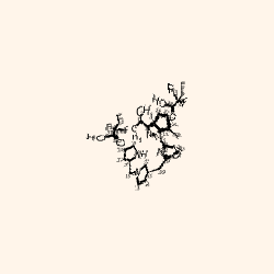 CC(C)c1nn(-c2noc(C[C@H]3CCN(C[C@H]4CCCN4)C3)n2)c2c(F)cccc12.O=C(O)C(F)(F)F.O=C(O)C(F)(F)F